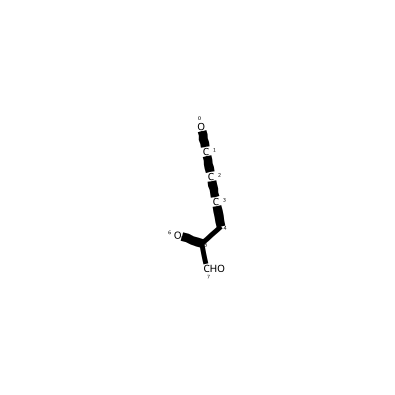 O=C=C=C=CC(=O)C=O